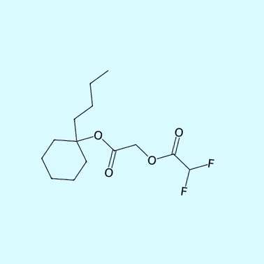 CCCCC1(OC(=O)COC(=O)C(F)F)CCCCC1